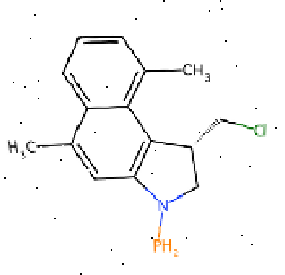 Cc1cc2c(c3c(C)cccc13)[C@H](CCl)CN2P